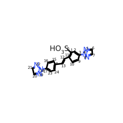 O=S(=O)(O)c1cc(-n2nccn2)ccc1C=Cc1ccc(-n2nccn2)cc1